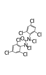 O=C(N(Cl)c1c(Cl)cc(Cl)cc1Cl)N(Cl)c1c(Cl)cc(Cl)cc1Cl